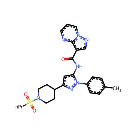 CCCS(=O)(=O)N1CCC(c2cc(NC(=O)c3cnn4cccnc34)n(-c3ccc(C)cc3)n2)CC1